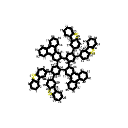 c1ccc2c(c1)sc1ccc(-c3cc4c(cc3-c3ccc5sc6ccccc6c5c3)-c3cc5c6ccccc6c6ccccc6c5cc3-c3cc(-c5ccc6sc7ccccc7c6c5)c(-c5ccc6sc7ccccc7c6c5)cc3-c3cc5c6ccccc6c6ccccc6c5cc3-4)cc12